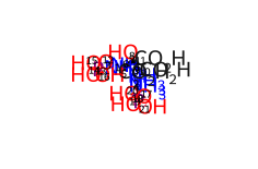 N.N.N.N.N.O=C(O)CC(O)(CC(=O)O)C(=O)O.O=P(O)(O)O.O=P(O)(O)O